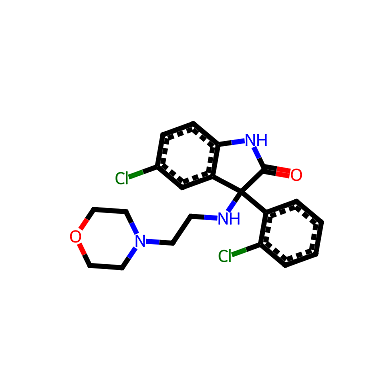 O=C1Nc2ccc(Cl)cc2C1(NCCN1CCOCC1)c1ccccc1Cl